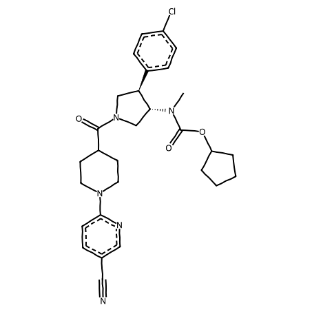 CN(C(=O)OC1CCCC1)[C@@H]1CN(C(=O)C2CCN(c3ccc(C#N)cn3)CC2)C[C@H]1c1ccc(Cl)cc1